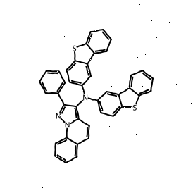 c1ccc(-c2nn3c(ccc4ccccc43)c2N(c2ccc3sc4ccccc4c3c2)c2ccc3sc4ccccc4c3c2)cc1